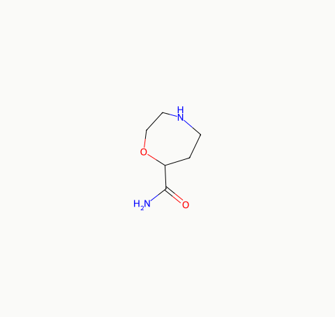 NC(=O)C1CCNCCO1